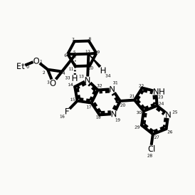 CCOC1OC1[C@H]1C2CCC(CC2)[C@@H]1n1cc(F)c2cnc(-c3c[nH]c4ncc(Cl)cc34)nc21